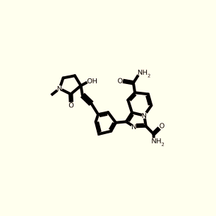 CN1CCC(O)(C#Cc2cccc(-c3nc(C(N)=O)n4ccc(C(N)=O)cc34)c2)C1=O